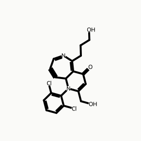 O=C1C=C(CO)N(c2c(Cl)cccc2Cl)C2C#CC=NC(CCCO)=C12